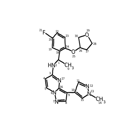 CC(Nc1ccn2ncc(-c3cnn(C)c3)c2n1)c1cc(F)ccc1OC1CCOC1